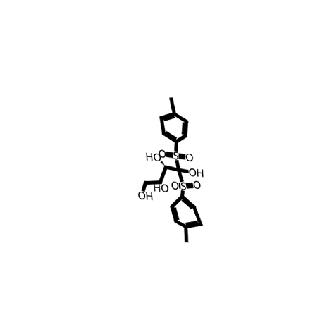 Cc1ccc(S(=O)(=O)C(O)([C@@H](O)[C@H](O)CO)S(=O)(=O)c2ccc(C)cc2)cc1